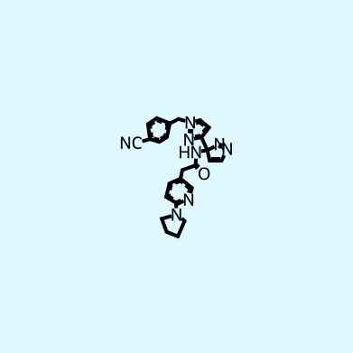 N#Cc1ccc(Cn2ccc(C3(NC(=O)Cc4ccc(N5CCCC5)nc4)C=CN=N3)n2)cc1